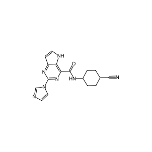 N#CC1CCC(NC(=O)c2nc(-n3ccnc3)nc3cc[nH]c23)CC1